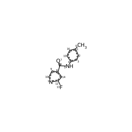 Cc1ccc(NC(=O)c2ccnc(F)c2)cc1